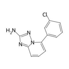 Nc1nc2cccc(-c3cccc(Cl)c3)n2n1